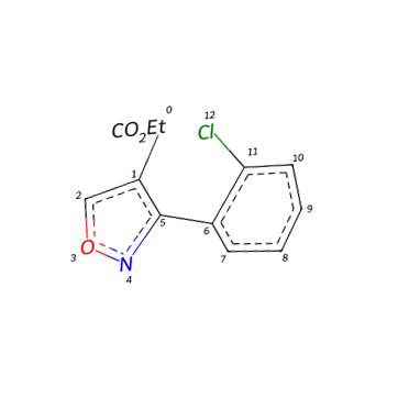 CCOC(=O)c1conc1-c1ccccc1Cl